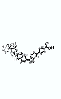 CC(C)(C)c1cc(NC(=O)Nc2ccc(-c3cnc4cc(-c5ccc(C(=O)O)cc5)ccn34)cc2F)no1